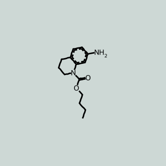 CCCCOC(=O)N1CCCc2ccc(N)cc21